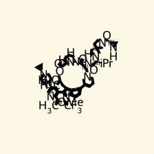 CO[C@@H](C)c1ncc(N2CCN(C3CC3)CC2)cc1-c1c2c3cc(ccc3n1CC(F)(F)F)C1=CCCN(C1)C[C@H](NC(=O)[C@H](C(C)C)N1CC[C@]3(CCN(C(=O)[C@H]4CN4)C3)C1)C(=O)N1CCC[C@H](N1)C(=O)OCC(C)(C)C2